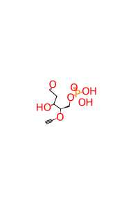 C#CO[C@H](COP(=O)(O)O)[C@@H](O)CC=O